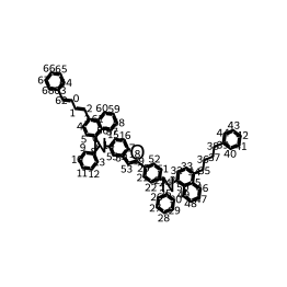 C(/C=C/c1ccc(N(c2ccccc2)c2ccc3oc(-c4ccc(N(c5ccccc5)c5ccc(CCCCc6ccccc6)c6ccccc56)cc4)cc3c2)c2ccccc12)=C\c1ccccc1